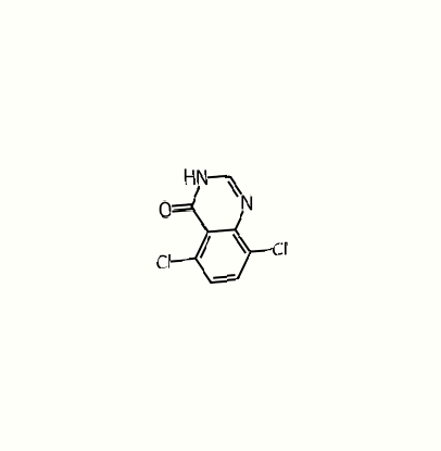 O=c1[nH]cnc2c(Cl)ccc(Cl)c12